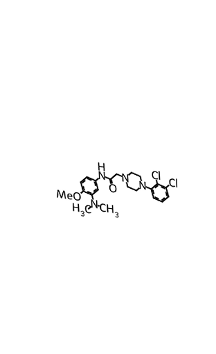 COc1ccc(NC(=O)CN2CCN(c3cccc(Cl)c3Cl)CC2)cc1N(C)C